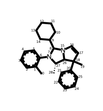 Cc1ccccc1N1C(C2CCCCC2)N2C=CC(C)(c3ccccc3)C2[C@@H]1C